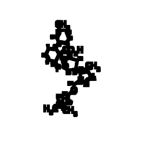 Cc1cccc(C2=CC=CC(F)C2(C(=O)O)N2CCC(c3c(C)ncn3COCC[Si](C)(C)C)CC2)c1